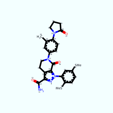 CSc1ccc(SC)c(-n2nc(C(N)=O)c3c2C(=O)N(c2ccc(N4CCCC4=O)c(C)c2)CC3)c1